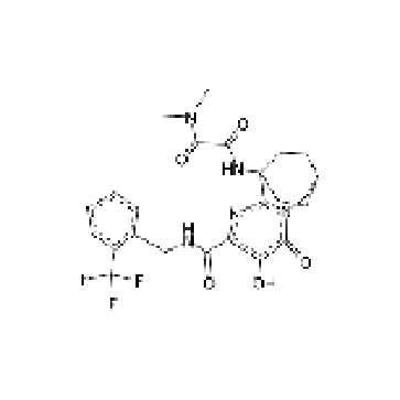 CN(C)C(=O)C(=O)NC12CCC(CC1)Cn1c2nc(C(=O)NCc2ccccc2C(F)(F)F)c(O)c1=O